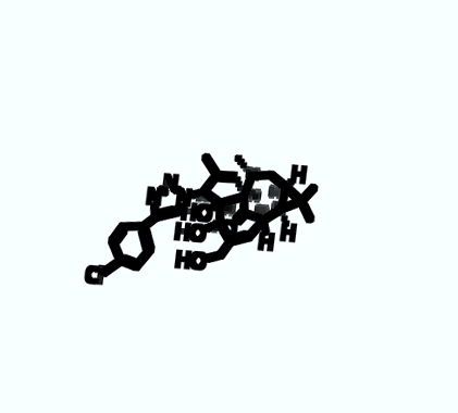 CC1=C[C@]23C(=O)[C@@H](C=C(CO)[C@@H](O)[C@]2(O)[C@H]1n1cc(-c2ccc(Cl)cc2)nn1)[C@H]1[C@@H](C[C@H]3C)C1(C)C